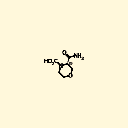 NC(=O)[C@@H]1COCCN1C(=O)O